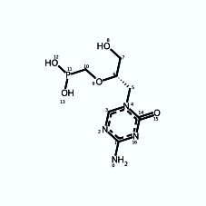 Nc1ncn(C[C@@H](CO)OCP(O)O)c(=O)n1